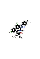 C=CC[C@]1(C)C[C@H](c2cccc(Cl)c2)[C@@H](c2ccc(Cl)cc2)N([C@@H](CC)CNCc2ccc(C)cc2)C1=O